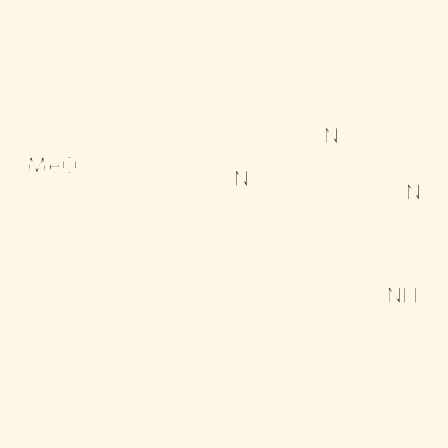 COC1CCN(c2ncnc3[nH]ccc23)CC1